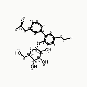 CCCc1ccc(O[C@H]2O[C@H](CO)[C@@H](O)[C@H](O)[C@@H]2O)c(-c2cccc(CC(C)=O)c2)c1